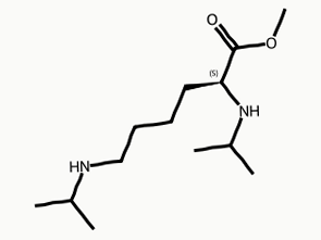 COC(=O)[C@H](CCCCNC(C)C)NC(C)C